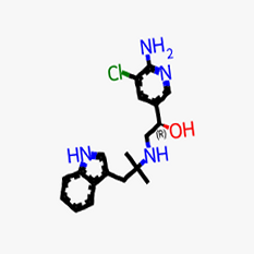 CC(C)(Cc1c[nH]c2ccccc12)NC[C@H](O)c1cnc(N)c(Cl)c1